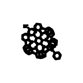 N#Cc1ccc(-c2c(-n3c4ccccc4c4ccccc43)c(-n3c4ccccc4c4ccccc43)c(-n3c4ccccc4c4c3c3ccccc3n4-c3ccccc3)c(-n3c4ccccc4c4ccccc43)c2-n2c3ccccc3c3ccccc32)nc1